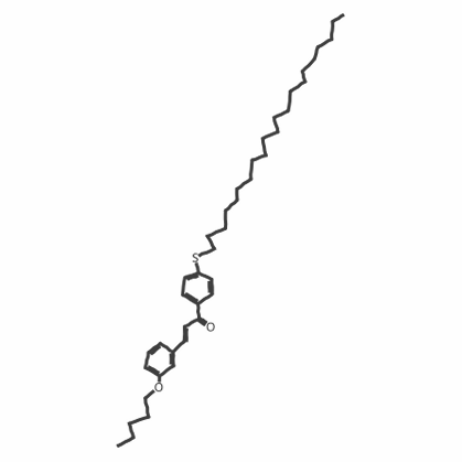 CCCCCCCCCCCCCCCCCCCCCSc1ccc(C(=O)C=Cc2cccc(OCCCCC)c2)cc1